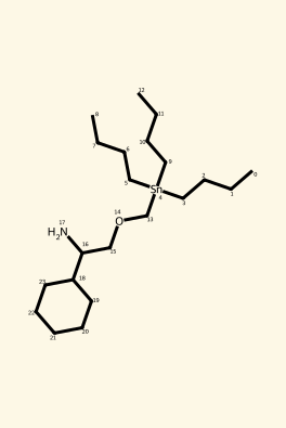 CCC[CH2][Sn]([CH2]CCC)([CH2]CCC)[CH2]OCC(N)C1CCCCC1